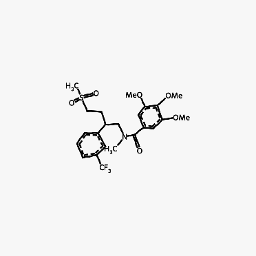 COc1cc(C(=O)N(C)CC(CCS(C)(=O)=O)c2cccc(C(F)(F)F)c2)cc(OC)c1OC